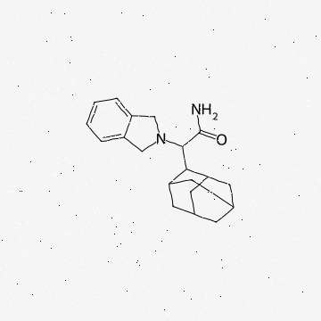 NC(=O)C(C1C2CC3CC(C2)CC1C3)N1Cc2ccccc2C1